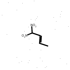 CC=CC([N+](=O)[O-])[N+](=O)[O-]